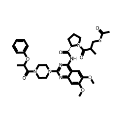 COc1cc2nc(N3CCN(C(=O)C(C)Oc4ccccc4)CC3)nc(NC(=O)[C@@H]3CCCN3C(=O)C(C)CSC(C)=O)c2cc1OC